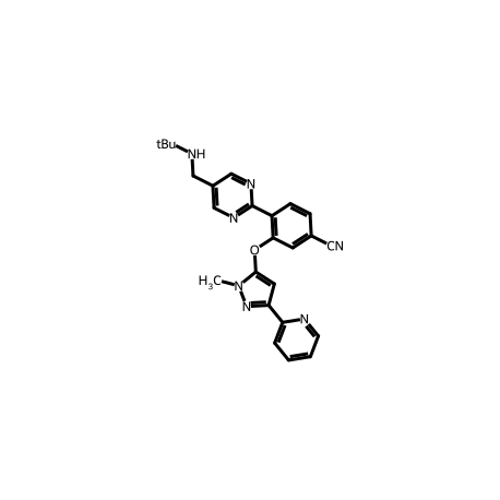 Cn1nc(-c2ccccn2)cc1Oc1cc(C#N)ccc1-c1ncc(CNC(C)(C)C)cn1